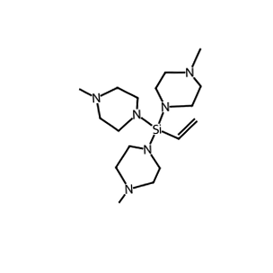 C=C[Si](N1CCN(C)CC1)(N1CCN(C)CC1)N1CCN(C)CC1